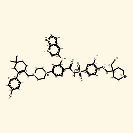 CC1(C)CCC(CN2CCN(c3ccc(C(=O)NS(=O)(=O)c4ccc(OCC5(CF)CCNCC5)c(Cl)c4)c(Oc4cnc5[nH]ccc5c4)c3)CC2)=C(c2ccc(Cl)cc2)C1